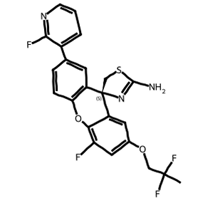 CC(F)(F)COc1cc(F)c2c(c1)[C@]1(CSC(N)=N1)c1cc(-c3cccnc3F)ccc1O2